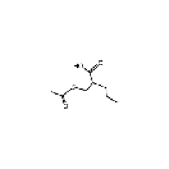 CCCC(CSC(C)=O)C(=O)O